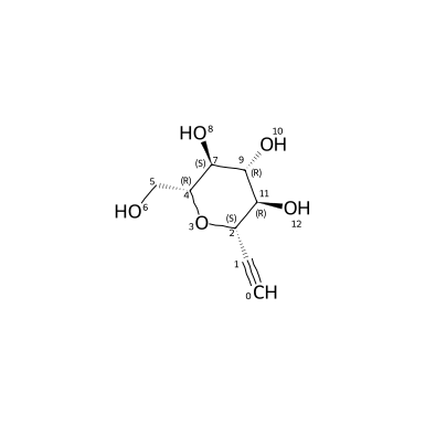 C#C[C@@H]1O[C@H](CO)[C@@H](O)[C@H](O)[C@H]1O